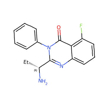 CC[C@@H](N)c1nc2cccc(F)c2c(=O)n1-c1ccccc1